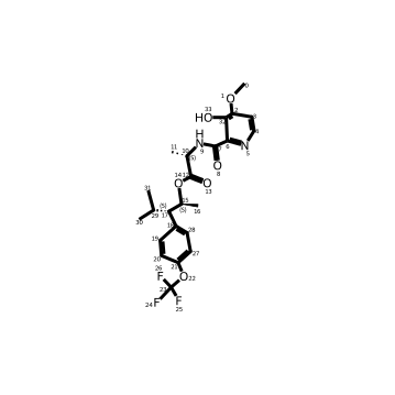 COc1ccnc(C(=O)N[C@@H](C)C(=O)O[C@@H](C)[C@H](c2ccc(OC(F)(F)F)cc2)C(C)C)c1O